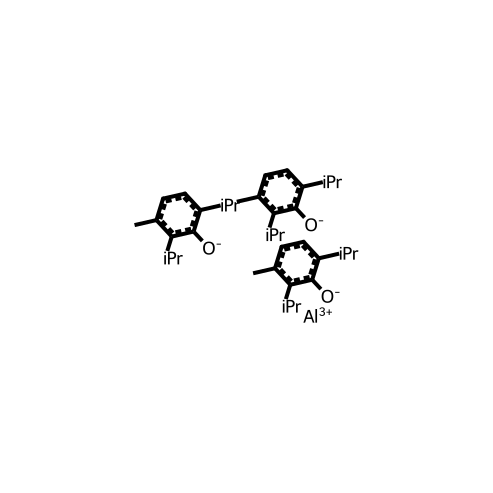 Cc1ccc(C(C)C)c([O-])c1C(C)C.Cc1ccc(C(C)C)c([O-])c1C(C)C.Cc1ccc(C(C)C)c([O-])c1C(C)C.[Al+3]